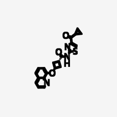 O=C(c1csc(NC(=O)[C@H]2C[C@H](Oc3cccc4cccnc34)C2)n1)C1CC1